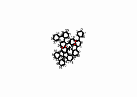 c1ccc(-c2ccc(-c3ccccc3N(c3ccccc3-c3ccccc3-c3ccccc3-c3ccccc3)c3cccc4c3-c3ccccc3C4(c3ccccc3)c3ccccc3)cc2)cc1